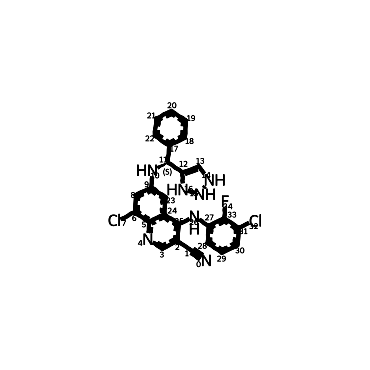 N#Cc1cnc2c(Cl)cc(N[C@H](C3=CNNN3)c3ccccc3)cc2c1Nc1cccc(Cl)c1F